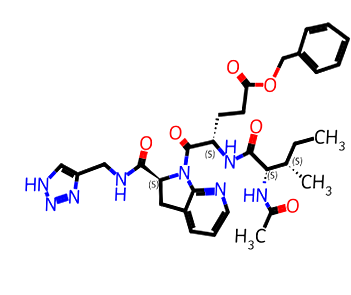 CC[C@H](C)[C@H](NC(C)=O)C(=O)N[C@@H](CCC(=O)OCc1ccccc1)C(=O)N1c2ncccc2C[C@H]1C(=O)NCc1c[nH]nn1